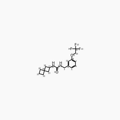 O=C(NCc1cccc(OCC(F)(F)F)c1)NC1CC2(CCC2)C1